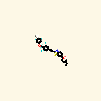 C=CC1CCC(c2ccc3nc(C#Cc4cc(F)c(C(F)(F)Oc5cc(F)c(C(F)(F)F)c(F)c5)c(F)c4)sc3c2)OC1